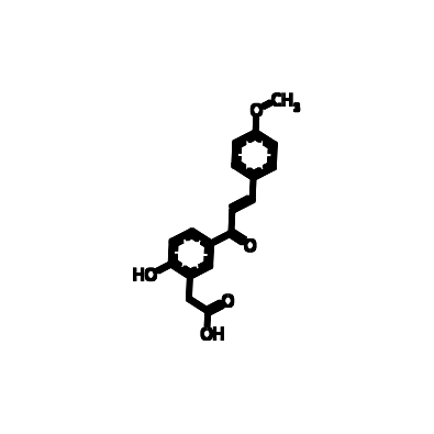 COc1ccc(C=CC(=O)c2ccc(O)c(CC(=O)O)c2)cc1